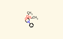 CCOC1(OCC)CN(c2ccccc2)CCO1